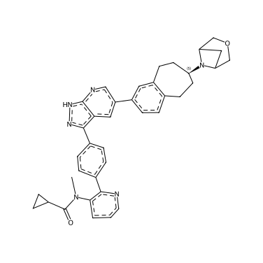 CN(C(=O)C1CC1)c1cccnc1-c1ccc(-c2n[nH]c3ncc(-c4ccc5c(c4)CC[C@@H](N4C6COCC4C6)CC5)cc23)cc1